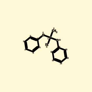 CC[Si](C)(Oc1ccccc1)Oc1ccccc1